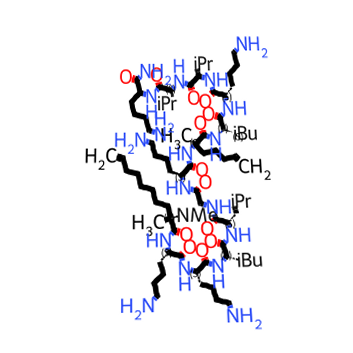 C=CCCCCCC[C@@](C)(NC)C(=O)N[C@@H](CCCCN)C(=O)N[C@@H](CCCCN)C(=O)N[C@H](C(=O)N[C@@H](CC(C)C)C(=O)NCC(=O)N[C@@H](CCCCN)C(=O)N[C@@](C)(CCCC=C)C(=O)N[C@H](C(=O)N[C@@H](CCCCN)C(=O)NC(C(=O)N[C@H](C(=O)NC(CCCCN)C(N)=O)C(C)C)C(C)C)[C@@H](C)CC)C(C)CC